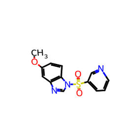 COc1ccc2c(c1)ncn2S(=O)(=O)c1cccnc1